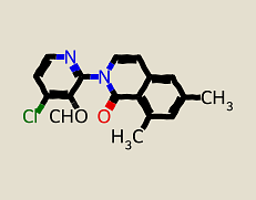 Cc1cc(C)c2c(=O)n(-c3nccc(Cl)c3C=O)ccc2c1